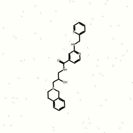 O=C(NCC(O)CN1CCc2ccccc2C1)c1ccnc(NCc2ccccn2)c1